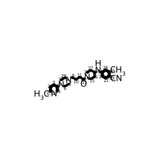 Cc1ccc(N2CCN(CCCC(=O)N3CCC(Nc4ccc(C#N)c(C)c4)CC3)CC2)cn1